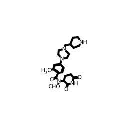 Cc1cc(N2CCN(CC3CCNCC3)CC2)ccc1C(=O)N(C=O)C1CCC(=O)NC1=O